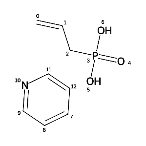 C=CCP(=O)(O)O.c1ccncc1